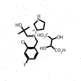 CC(C)(O)CN(Cc1ccc(F)cc1Cl)[C@H]1CCNC1.O=C(O)C(O)C(O)C(=O)O